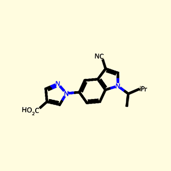 CC(C)C(C)n1cc(C#N)c2cc(-n3cc(C(=O)O)cn3)ccc21